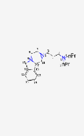 CCCN(CCC)CCCN1CCN2Cc3ccccc3C2C1